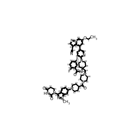 CCOc1cc(-c2ccc(N3CCC(CN4CCN(C(=O)C5CCN(c6ccc7c(N8CCC(=O)NC8=O)nn(C)c7c6)CC5)CC4)(NC(=O)c4cc(F)ccc4F)CC3)nc2)c2c(C#N)cnn2c1